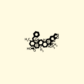 C[C@@H]1CC[C@]2(C(=O)O)CC[C@]3(C)C(=CC[C@@H]4[C@@]5(C)Cc6cc7cnoc7nc6C(C)(C)[C@@H]5CC[C@]43C)[C@@H]2[C@@]1(C)Cc1ccccc1